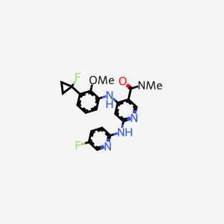 CNC(=O)c1cnc(Nc2ccc(F)cn2)cc1Nc1cccc(C2(F)CC2)c1OC